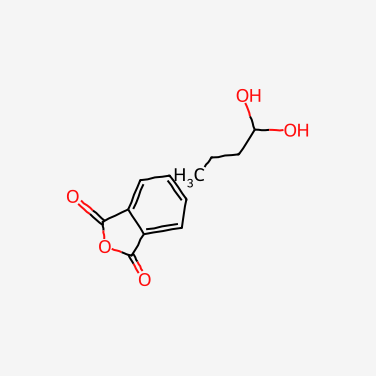 CCCC(O)O.O=C1OC(=O)c2ccccc21